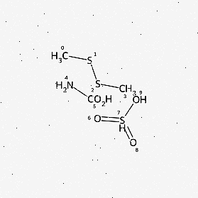 CSSC.NC(=O)O.O=[SH](=O)O